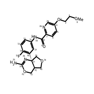 COCCOc1ccc(C(=O)Nc2ccc(F)c([C@]34COCC3COC(N)=N4)c2)nc1